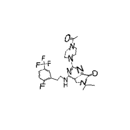 CC(=O)N1CCN(c2nc(NCCc3cc(C(F)(F)F)ccc3F)c3c(n2)C(=O)N(C(C)C)C3)CC1